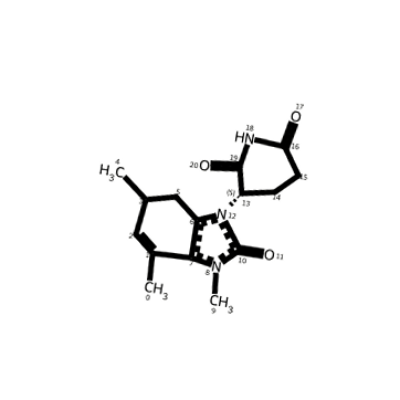 CC1=CC(C)Cc2c1n(C)c(=O)n2[C@H]1CCC(=O)NC1=O